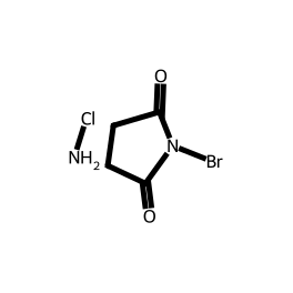 NCl.O=C1CCC(=O)N1Br